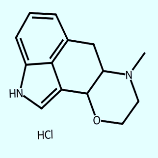 CN1CCOC2c3c[nH]c4cccc(c34)CC21.Cl